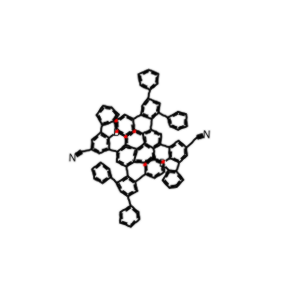 N#Cc1cc2c3c(c1)-c1cc(-c4c(-c5ccccc5)cc(-c5ccccc5)cc4-c4ccccc4)c4cc5c6c(cc(-c7c(-c8ccccc8)cc(-c8ccccc8)cc7-c7ccccc7)c7cc(c1c4c76)B3c1ccccc1-2)-c1cc(C#N)cc2c1B5c1ccccc1-2